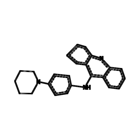 c1ccc2c(Nc3ccc(N4CCCCC4)cc3)c3ccccc3nc2c1